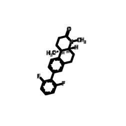 CN1C(=O)CC[C@]2(C)c3ccc(-c4c(F)cccc4F)cc3CC[C@@H]12